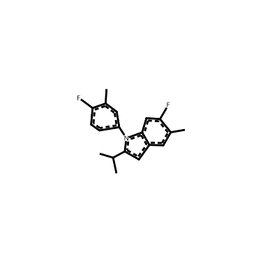 Cc1cc(-n2c(C(C)C)cc3cc(C)c(F)cc32)ccc1F